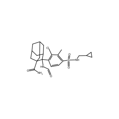 Cc1c(S(=O)(=O)NCC2CC2)ccc(C2(NC=O)C3CC4CC(C3)CC2(C(N)=O)C4)c1Cl